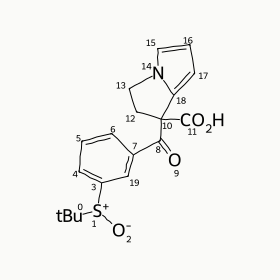 CC(C)(C)[S+]([O-])c1cccc(C(=O)C2(C(=O)O)CCn3cccc32)c1